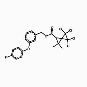 CC1(C)C(C(=O)OCc2cccc(Oc3ccc(F)cc3)c2)C12C(Cl)(Cl)C2(Cl)Cl